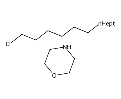 C1COCCN1.CCCCCCCCCCCCCCl